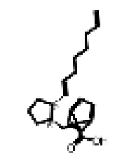 C=CCCCCC=C[C@H]1CCC[C@@H]1CC1(C(=O)O)C2=CC=C1C=C2